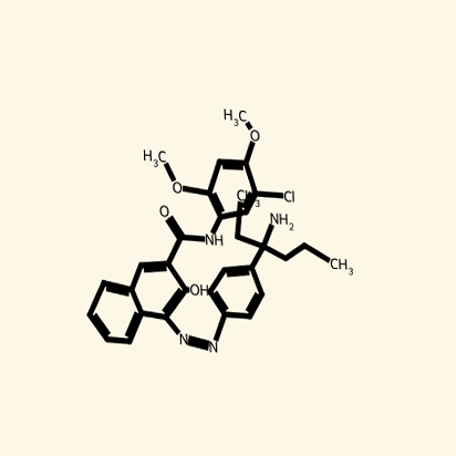 CCCC(N)(CC)c1ccc(/N=N\c2c(O)c(C(=O)Nc3cc(Cl)c(OC)cc3OC)cc3ccccc23)cc1